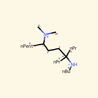 CCCCCC(CCC(CCC)(CCC)NCCCC)N(C)C